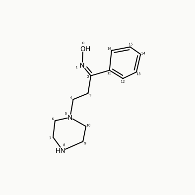 ON=C(CCN1CCNCC1)c1ccccc1